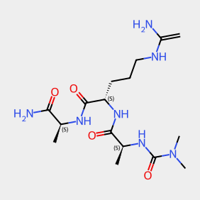 C=C(N)NCCC[C@H](NC(=O)[C@H](C)NC(=O)N(C)C)C(=O)N[C@@H](C)C(N)=O